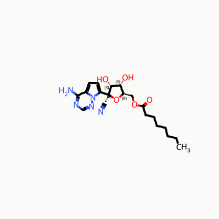 CCCCCCCC(=O)OC[C@H]1O[C@@](C#N)(c2ccc3c(N)ncnn23)[C@H](O)[C@@H]1O